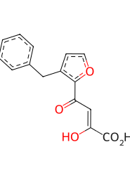 O=C(O)/C(O)=C/C(=O)c1occc1Cc1ccccc1